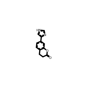 O=C1CCc2ccc(-c3c[nH]cn3)cc2O1